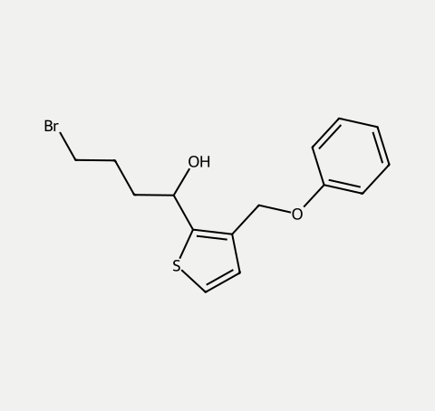 OC(CCCBr)c1sccc1COc1ccccc1